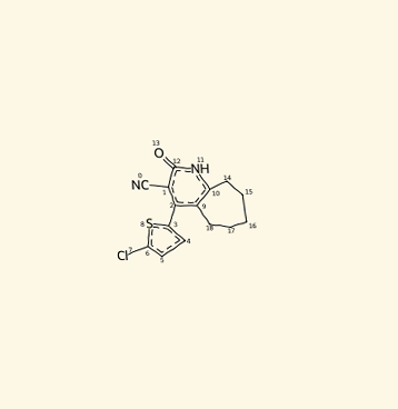 N#Cc1c(-c2ccc(Cl)s2)c2c([nH]c1=O)CCCCC2